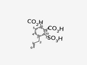 C=CCc1ccc(C(=O)O)c(C(=O)O)c1S(=O)(=O)O